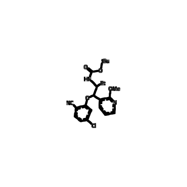 CCC(NC(=O)OC(C)(C)C)C(Oc1cc(Cl)ccc1C#N)c1cccnc1OC